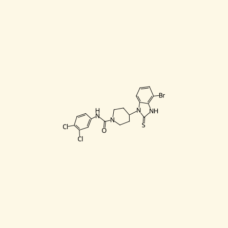 O=C(Nc1ccc(Cl)c(Cl)c1)N1CCC(n2c(=S)[nH]c3c(Br)cccc32)CC1